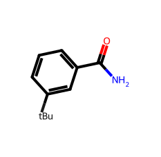 CC(C)(C)c1cccc(C(N)=O)c1